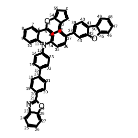 c1cc2ccc(-c3ccccc3N(c3ccc(-c4ccc(-c5nc6ccccc6o5)cc4)cc3)c3ccc(-c4ccc5c(c4)oc4ccccc45)cc3)oc-2c1